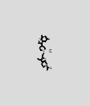 CCc1c(CCN2CCC(c3coc4c(C)cc(C)cc34)CC2)sc2c1CCN(C(C)=O)C2.Cl